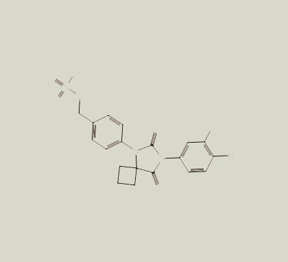 [C-]#[N+]c1ccc(N2C(=O)C3(CCC3)N(c3ccc(COS(C)(=O)=O)cc3)C2=S)cc1C